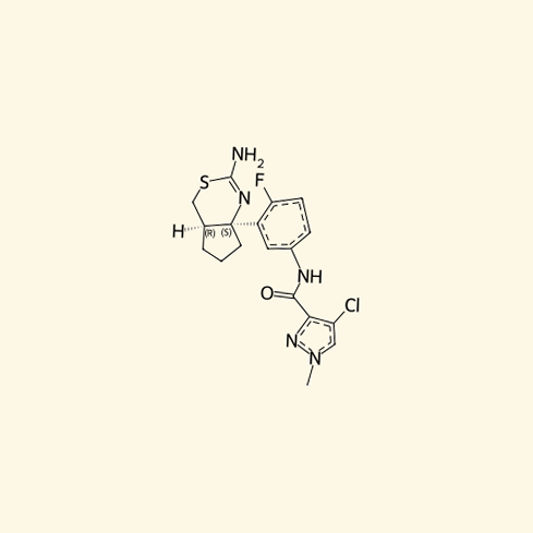 Cn1cc(Cl)c(C(=O)Nc2ccc(F)c([C@]34CCC[C@H]3CSC(N)=N4)c2)n1